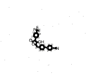 N#Cc1ccc(-c2ccc(/C=C3/OC(=O)C(c4ccc(C(F)(F)F)cc4)=C3O)cc2)cc1